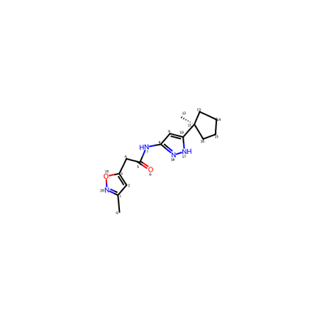 Cc1cc(CC(=O)Nc2cc([C@@]3(C)C[CH]CC3)[nH]n2)on1